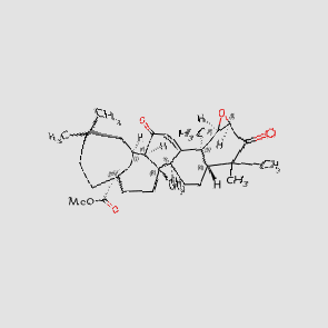 COC(=O)[C@]12CCC(C)(C)C[C@H]1[C@H]1C(=O)C=C3[C@@]4(C)[C@H]5O[C@H]5C(=O)C(C)(C)[C@@H]4CC[C@@]3(C)[C@]1(C)CC2